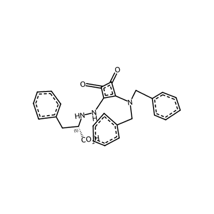 O=C(O)[C@H](Cc1ccccc1)NNc1c(N(Cc2ccccc2)Cc2ccccc2)c(=O)c1=O